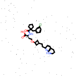 O=C(O)[C@H](CCOC1CC(CCc2ccc3c(n2)NCCC3)C1)NC(=O)C1(Cc2cccc(Cl)c2)CCCC1